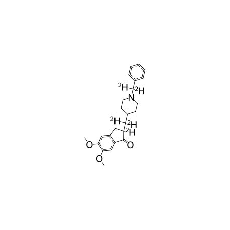 [2H]C([2H])(c1ccccc1)N1CCC(C([2H])([2H])C2([2H])Cc3cc(OC)c(OC)cc3C2=O)CC1